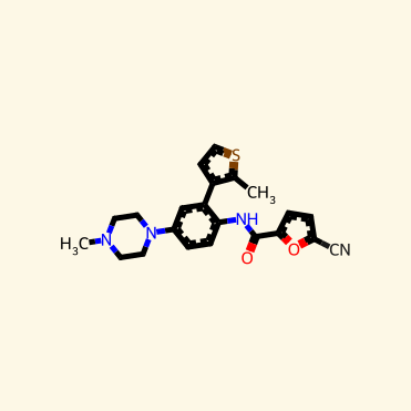 Cc1sccc1-c1cc(N2CCN(C)CC2)ccc1NC(=O)c1ccc(C#N)o1